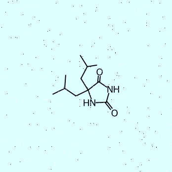 CC(C)CC1(CC(C)C)NC(=O)NC1=O